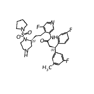 Cc1cc(F)cc([C@@H](CC(=O)Nc2cncc(F)c2CC[C@H]2CNCCN2S(=O)(=O)N2CCCC2)c2ccc(F)cc2)c1